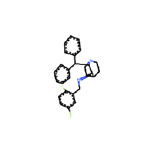 Fc1ccc(F)c(C/N=C2\C3CCN(CC3)C2C(c2ccccc2)c2ccccc2)c1